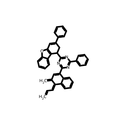 C=C/C=c1\c(=C)cc(-c2nc(-c3ccccc3)nc(C3CC(c4ccccc4)=Cc4oc5ccccc5c43)n2)c2ccccc12